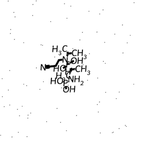 CC(C)N(CCC#N)[PH](O)(O)C(C)C.NP(O)O